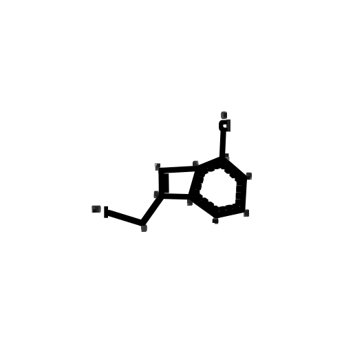 Clc1cccc2c1C=C2CI